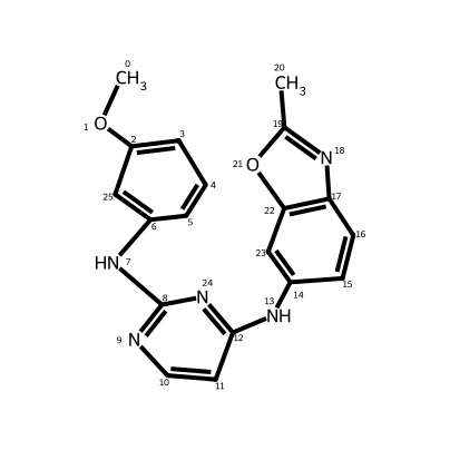 COc1cccc(Nc2nccc(Nc3ccc4nc(C)oc4c3)n2)c1